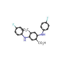 O=C(O)c1cc(Nc2ccc(F)cc2)c(C(=O)O)cc1Nc1ccc(F)cc1